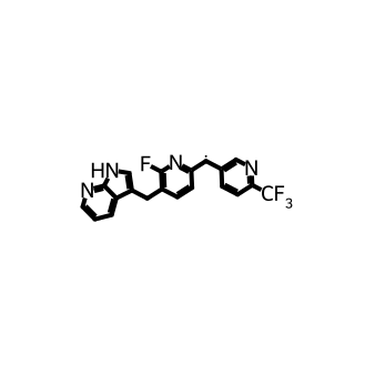 Fc1nc([CH]c2ccc(C(F)(F)F)nc2)ccc1Cc1c[nH]c2ncccc12